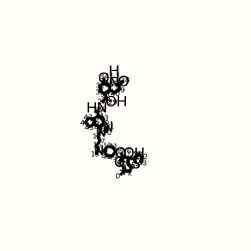 Cc1ccc([C@@](O)(C(=O)OC2CCC(N(C)CCCn3cnc4cc(CNC[C@H](O)c5ccc(O)c6[nH]c(=O)ccc56)c5c(c43)CCC5)CC2)c2cccs2)s1